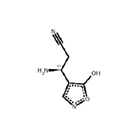 N#CC[C@H](N)c1cnoc1O